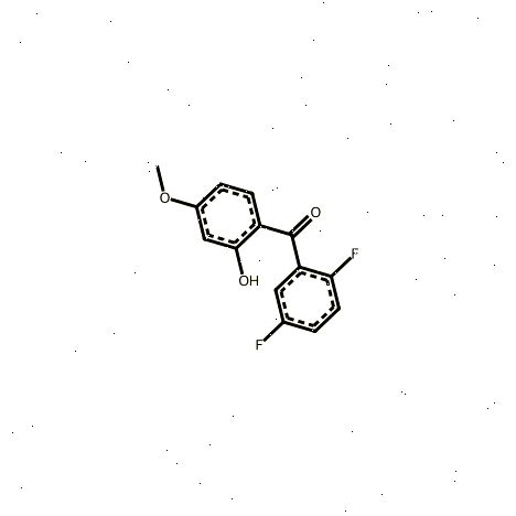 COc1ccc(C(=O)c2cc(F)ccc2F)c(O)c1